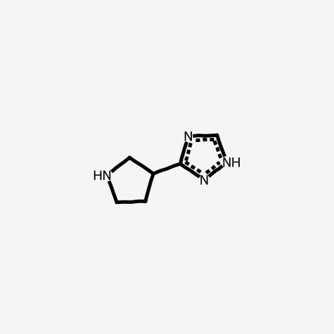 c1nc(C2CCNC2)n[nH]1